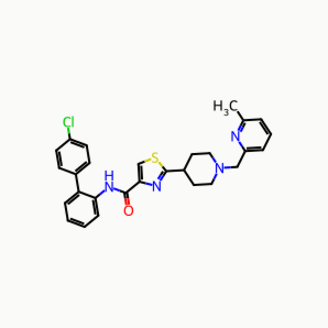 Cc1cccc(CN2CCC(c3nc(C(=O)Nc4ccccc4-c4ccc(Cl)cc4)cs3)CC2)n1